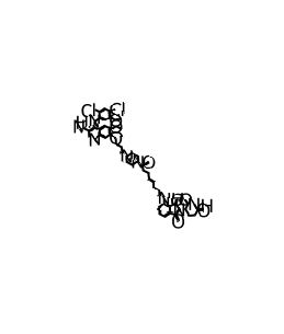 COc1cc(Nc2c(C#N)cnc3cc(OCCCN4CCN(C(=O)CCCCCCCNc5cccc6c5C(=O)N(C5CCC(=O)NC5=O)C6=O)CC4)c(OC)cc23)c(Cl)cc1Cl